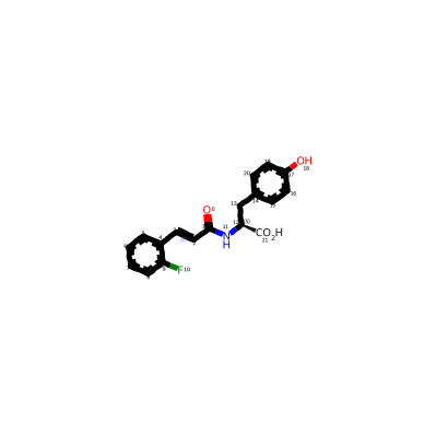 O=C(/C=C/c1ccccc1F)N[C@@H](Cc1ccc(O)cc1)C(=O)O